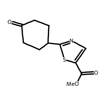 COC(=O)c1cnc(C2CCC(=O)CC2)s1